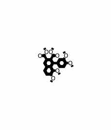 COC(=O)c1cc2ccc(OC)c(OC)c2c(-c2ccc(OC)c(OC)c2)c1C(=O)OC